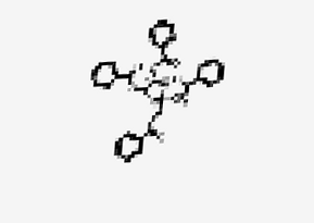 O=C(OC[C@@]1(C(F)(F)F)OC(OC(=O)c2ccccc2)[C@H](OC(=O)c2ccccc2)[C@@H]1OC(=O)c1ccccc1)c1ccccc1